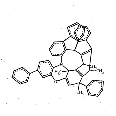 CC1C2=C3C(C)C4=C1C(C)(c1ccccc1)C=C1Oc5cc(-c6ccccc6)ccc5N(c5cccc6c5C3(c3ccccc32)c2ccccc2-6)C14C